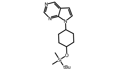 CC(C)(C)[Si](C)(C)OC1CCC(n2ccc3cncnc32)CC1